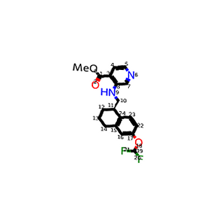 COC(=O)c1ccncc1NC[C@@H]1CCCc2cc(OC(F)F)ccc21